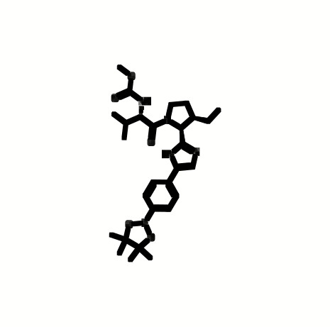 CC[C@@H]1CCN(C(=O)[C@@H](NC(=O)OC)C(C)C)[C@@H]1c1ncc(-c2ccc(B3OC(C)(C)C(C)(C)O3)cc2)[nH]1